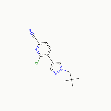 CC(C)(C)Cn1cc(-c2ccc(C#N)nc2Cl)cn1